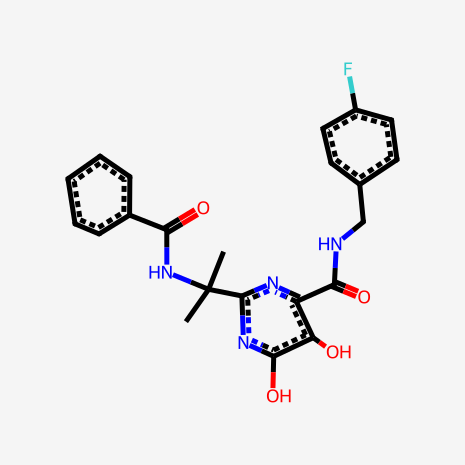 CC(C)(NC(=O)c1ccccc1)c1nc(O)c(O)c(C(=O)NCc2ccc(F)cc2)n1